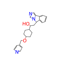 OC(CC1c2ccccc2-c2cncn21)C1CCC(OCc2ccncc2)CC1